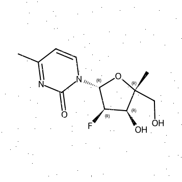 Cc1ccn([C@@H]2O[C@](C)(CO)[C@@H](O)[C@H]2F)c(=O)n1